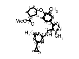 COC(=O)[C@H]1CCC[C@H](Oc2ccc(-c3nnn(C)c3CNc3nc(C)nc(C4CC4)n3)nc2C)C1